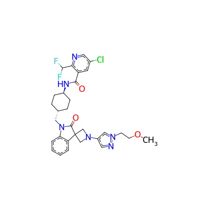 COCCn1cc(N2CC3(C2)C(=O)N(C[C@H]2CC[C@H](NC(=O)c4cc(Cl)cnc4C(F)F)CC2)c2ccccc23)cn1